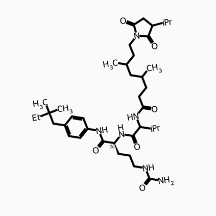 CCC(C)(C)Cc1ccc(NC(=O)[C@H](CCCNC(N)=O)NC(=O)C(NC(=O)CCC(C)CC(C)CCN2C(=O)CC(C(C)C)C2=O)C(C)C)cc1